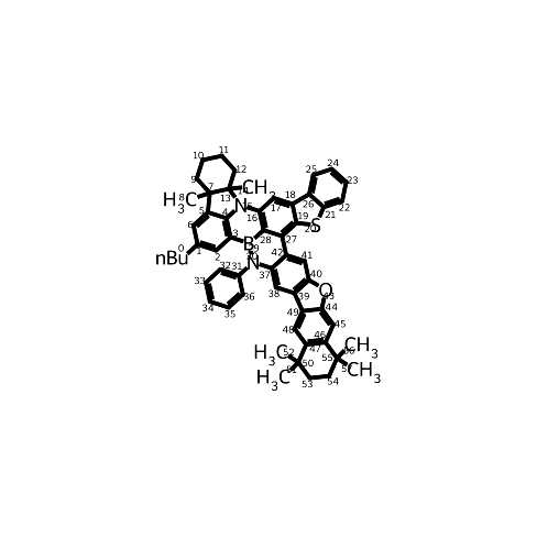 CCCCc1cc2c3c(c1)C1(C)CCCCC1(C)N3c1cc3c(sc4ccccc43)c3c1B2N(c1ccccc1)c1cc2c(cc1-3)oc1cc3c(cc12)C(C)(C)CCC3(C)C